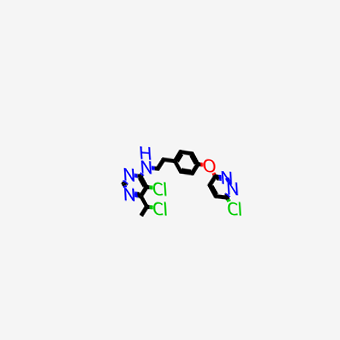 CC(Cl)c1ncnc(NCCc2ccc(Oc3ccc(Cl)nn3)cc2)c1Cl